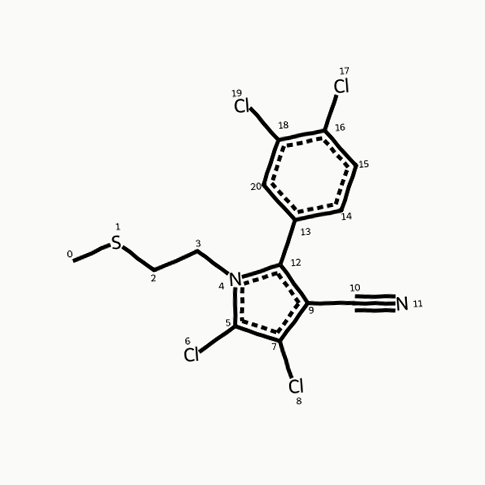 CSCCn1c(Cl)c(Cl)c(C#N)c1-c1ccc(Cl)c(Cl)c1